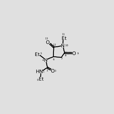 CCNC(=O)N(CC)C1CC(=O)N(CC)C1=O